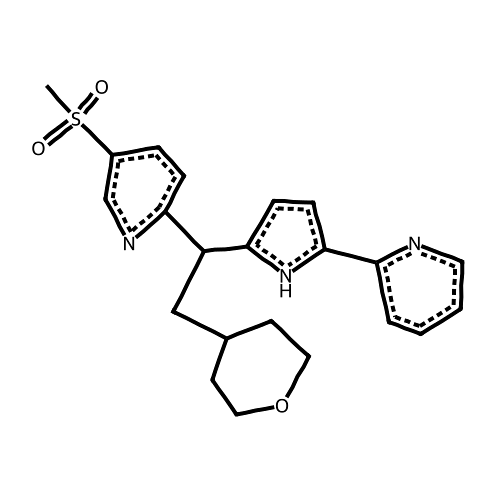 CS(=O)(=O)c1ccc(C(CC2CCOCC2)c2ccc(-c3ccccn3)[nH]2)nc1